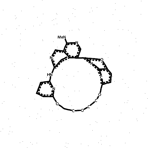 CNc1ncc2c3cc(ncc13)Nc1cccc(n1)OCCOCCOc1ccc3oc-2nc3c1